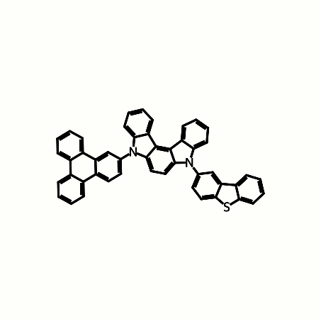 c1ccc2c(c1)sc1ccc(-n3c4ccccc4c4c5c6ccccc6n(-c6ccc7c8ccccc8c8ccccc8c7c6)c5ccc43)cc12